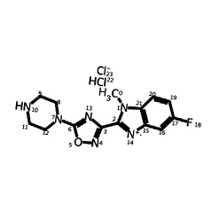 CN1C(c2noc(N3CCNCC3)n2)=[N+]c2cc(F)ccc21.Cl.[Cl-]